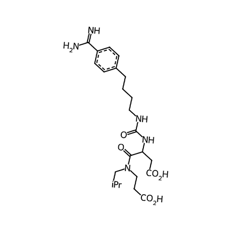 CC(C)CN(CCC(=O)O)C(=O)C(CC(=O)O)NC(=O)NCCCCc1ccc(C(=N)N)cc1